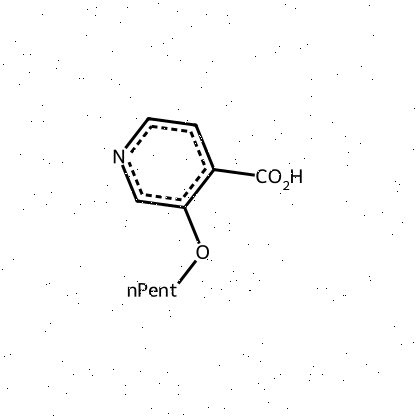 CCCCCOc1cnccc1C(=O)O